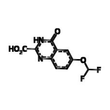 O=C(O)c1nc2ccc(OC(F)F)cc2c(=O)[nH]1